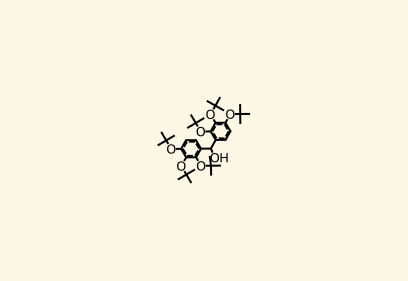 CC(C)(C)Oc1ccc(C(O)c2ccc(OC(C)(C)C)c(OC(C)(C)C)c2OC(C)(C)C)c(OC(C)(C)C)c1OC(C)(C)C